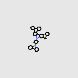 CC1(C)c2ccccc2-c2cc3c4c5c6ccccc6c6ccccc6c5ccc4n(-c4ccc(-n5c6ccccc6c6ccccc65)cc4)c3cc21